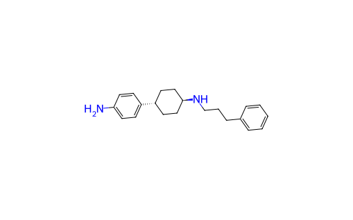 Nc1ccc([C@H]2CC[C@H](NCCCc3ccccc3)CC2)cc1